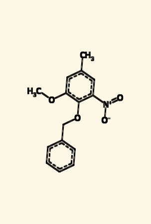 COc1cc(C)cc([N+](=O)[O-])c1OCc1ccccc1